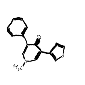 Cn1cc(-c2ccccc2)c(=O)c(-c2ccsc2)c1